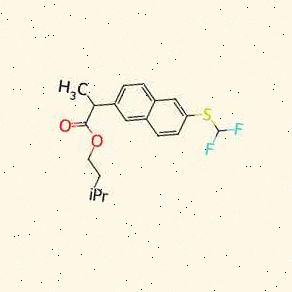 CC(C)CCOC(=O)C(C)c1ccc2cc(SC(F)F)ccc2c1